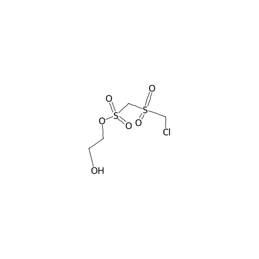 O=S(=O)(CCl)CS(=O)(=O)OCCO